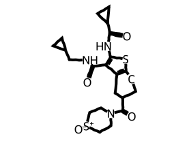 O=C(NCC1CC1)c1c(NC(=O)C2CC2)sc2c1CC(C(=O)N1CC[S+]([O-])CC1)CC2